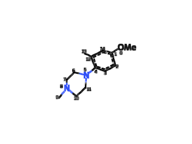 COc1ccc(N2CCN(C)CC2)c(C)c1